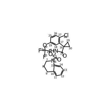 O=C(NS(=O)(=O)N1CCCc2ccccc21)C1(c2cc(OC(F)(F)F)ccc2Cl)CC1